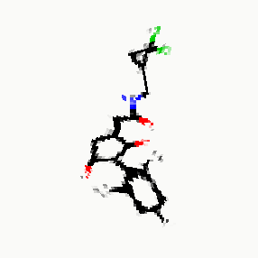 Cc1cc(C)c(C2C(=O)CC(CC(=O)NCC3CC3(Cl)Cl)C2=O)c(C)c1